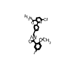 COc1ccc(F)cc1C(=O)NCc1ccc(-c2nc(Cl)ccc2C(N)=O)cc1